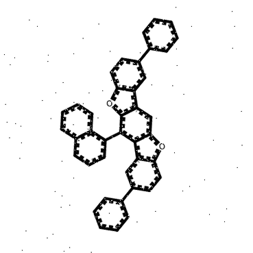 c1ccc(-c2ccc3oc4c(-c5cccc6ccccc56)c5c(cc4c3c2)oc2ccc(-c3ccccc3)cc25)cc1